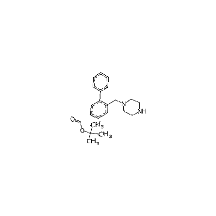 CC(C)(C)OC=O.c1ccc(-c2ccccc2CN2CCNCC2)cc1